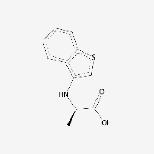 C[C@@H](Nc1csc2ccccc12)C(=O)O